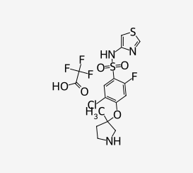 CC1(Oc2cc(F)c(S(=O)(=O)Nc3cscn3)cc2Cl)CCNC1.O=C(O)C(F)(F)F